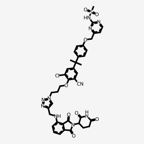 CC(C)(c1ccc(OCc2ccnc(NS(C)(=O)=O)n2)cc1)c1cc(Cl)c(OCCCn2cc(CNc3cccc4c3C(=O)N(C3CCC(=O)NC3=O)C4=O)nn2)c(C#N)c1